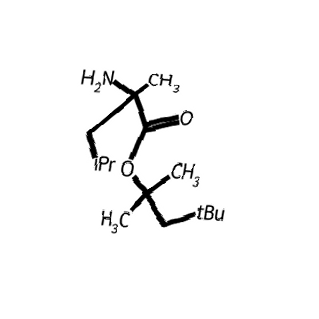 CC(C)CC(C)(N)C(=O)OC(C)(C)CC(C)(C)C